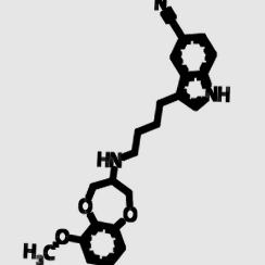 COc1cccc2c1OCC(NCCCCc1c[nH]c3ccc(C#N)cc13)CO2